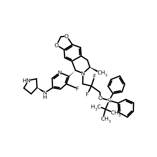 C[C@@H]1Cc2cc3c(cc2[C@@H](c2ncc(N[C@H]4CCNC4)cc2F)N1CC(F)(F)CO[Si](c1ccccc1)(c1ccccc1)C(C)(C)C)OCO3